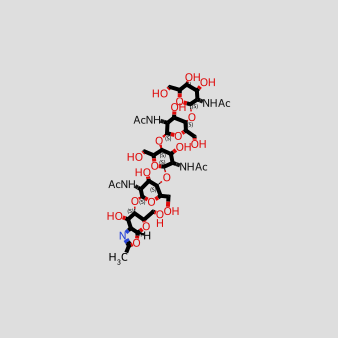 CC(=O)NC1C(O)[C@H](O)C(CO)O[C@H]1O[C@@H]1C(CO)O[C@@H](O[C@@H]2C(CO)O[C@@H](O[C@@H]3C(CO)O[C@@H](O[C@@H]4C(CO)O[C@@H]5OC(C)=NC5C4O)C(NC(C)=O)C3O)C(NC(C)=O)C2O)C(NC(C)=O)C1O